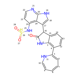 O=C1Nc2c(C3=CC=CC=CN3)cccc2C1c1c[nH]c2nccc(N[SH](=O)=O)c12